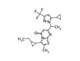 CCC1CC1c1c(C)sc2nc(C(C)n3nc(C(F)(F)F)cc3C3CC3)cc(=O)n12